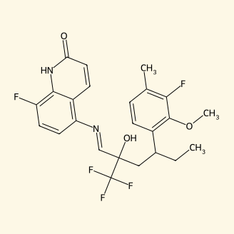 CCC(CC(O)(C=Nc1ccc(F)c2[nH]c(=O)ccc12)C(F)(F)F)c1ccc(C)c(F)c1OC